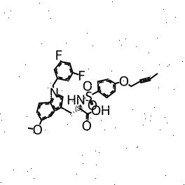 CC#CCOc1ccc(S(=O)(=O)N[C@@H](Cc2cn(Cc3cc(F)cc(F)c3)c3ccc(OC)cc23)C(=O)O)cc1